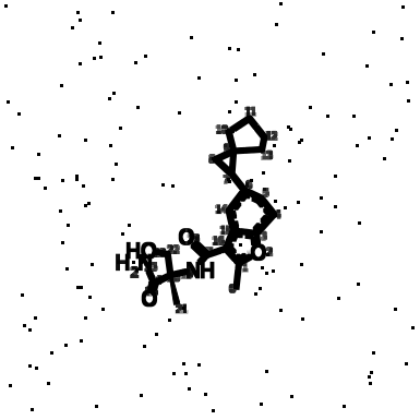 Cc1oc2ccc(C3CC34CCCC4)cc2c1C(=O)N[C@@](C)(CO)C(N)=O